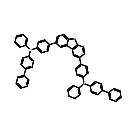 C1=CC(N(c2ccc(-c3ccccc3)cc2)c2ccc(-c3ccc4oc5ccc(-c6ccc(N(c7ccccc7)c7ccc(-c8ccccc8)cc7)cc6)cc5c4c3)cc2)=CCC1